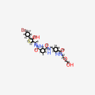 C/C(=N\NC(=O)c1cccc(C(=O)NCc2ccc(C(=O)NCCOCCO)cc2)c1)c1csc(-c2ccc(Br)cc2)c1O